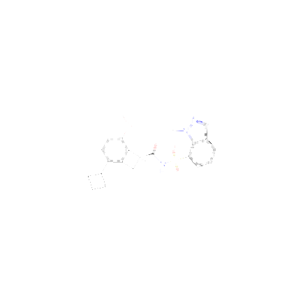 COc1ccc(C2CCC2)c2c1[C@@H](C(=O)NS(=O)(=O)c1cccc3cnn(C)c13)C2